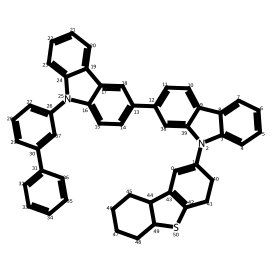 C1=C(n2c3ccccc3c3ccc(-c4ccc5c(c4)c4ccccc4n5-c4cccc(-c5ccccc5)c4)cc32)CCC2=C1C1CCCCC1S2